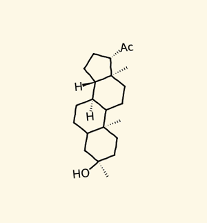 [CH2]C(=O)[C@H]1CC[C@H]2[C@@H]3CCC4C[C@](C)(O)CC[C@]4(C)C3CC[C@]12C